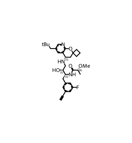 C#Cc1cc(F)cc(C[C@H](NC(=O)[C@@H](C)OC)[C@@H](O)CN[C@H]2CC3(CCC3)Oc3ncc(CC(C)(C)C)cc32)c1